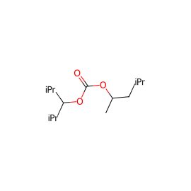 CC(C)CC(C)OC(=O)OC(C(C)C)C(C)C